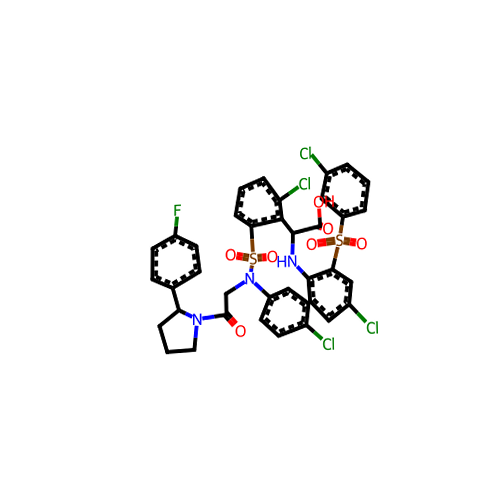 O=C(O)C(Nc1ccc(Cl)cc1S(=O)(=O)c1cccc(Cl)c1)c1c(Cl)cccc1S(=O)(=O)N(CC(=O)N1CCCC1c1ccc(F)cc1)c1ccc(Cl)cc1